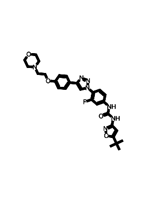 CC(C)(C)c1cc(NC(=O)Nc2ccc(-n3cc(-c4ccc(OCCN5CCOCC5)cc4)nn3)c(F)c2)no1